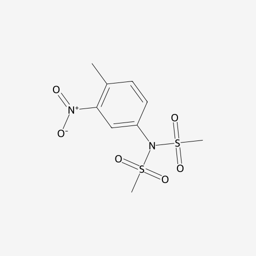 Cc1ccc(N(S(C)(=O)=O)S(C)(=O)=O)cc1[N+](=O)[O-]